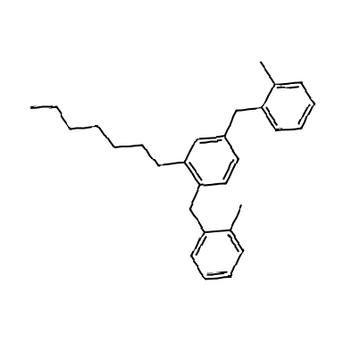 CCCCCCCc1cc(Cc2ccccc2C)ccc1Cc1ccccc1C